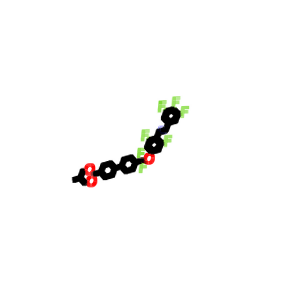 CC1COC(C2CCC(C3CCC(C(F)(F)Oc4cc(F)c(/C=C/c5cc(F)c(F)c(F)c5)c(F)c4)CC3)CC2)OC1